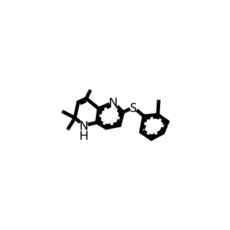 CC1=CC(C)(C)Nc2ccc(Sc3ccccc3C)nc21